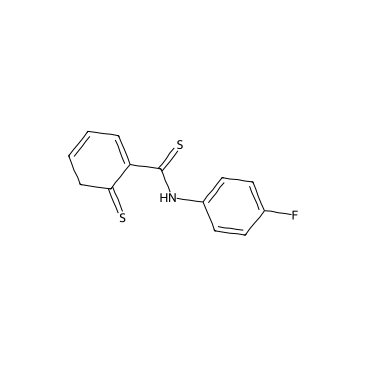 Fc1ccc(NC(=S)C2=CC=CCC2=S)cc1